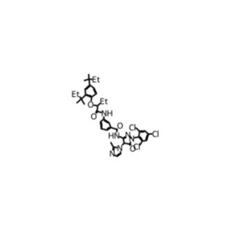 CCC(Oc1ccc(C(C)(C)CC)cc1C(C)(C)CC)C(=O)Nc1cccc(C(=O)NC2=NN(c3c(Cl)cc(Cl)cc3Cl)C(=O)C2n2ccnc2C)c1